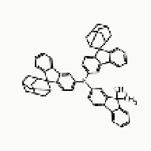 CC1(C)c2ccccc2-c2ccc(N(c3ccc4c(c3)-c3ccccc3C43C4CC5CC(C4)CC3C5)c3ccc4c(c3)-c3ccccc3C43C4CC5CC(C4)CC3C5)cc21